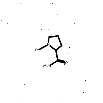 CNC(=O)C1CCCN1C(C)C